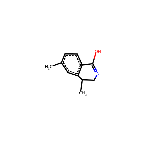 Cc1ccc2c(c1)C(C)CN=C2O